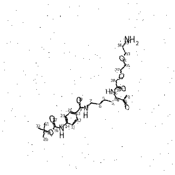 CC(=O)[C@H](CCCCNC(=O)c1ccc(NC(=O)OC(C)(C)C)cc1)NC(=O)COCCOCCN